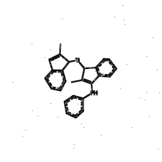 CC1=Cc2ccccc2[CH]1[Ti][CH]1C(C)=C(Pc2ccccc2)c2ccccc21